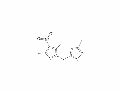 Cc1cc(Cn2nc(C)c([N+](=O)[O-])c2C)no1